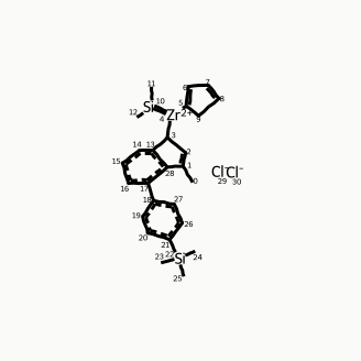 CC1=C[CH]([Zr+2]([C]2=CC=CC2)=[Si](C)C)c2cccc(-c3ccc([Si](C)(C)C)cc3)c21.[Cl-].[Cl-]